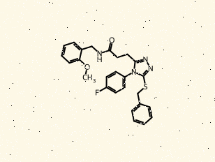 COc1ccccc1CNC(=O)CCc1nnc(SCc2ccccc2)n1-c1ccc(F)cc1